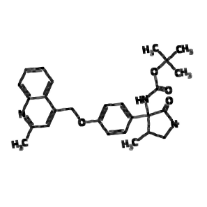 Cc1cc(COc2ccc(C3(NC(=O)OC(C)(C)C)C(=O)[N]CC3C)cc2)c2ccccc2n1